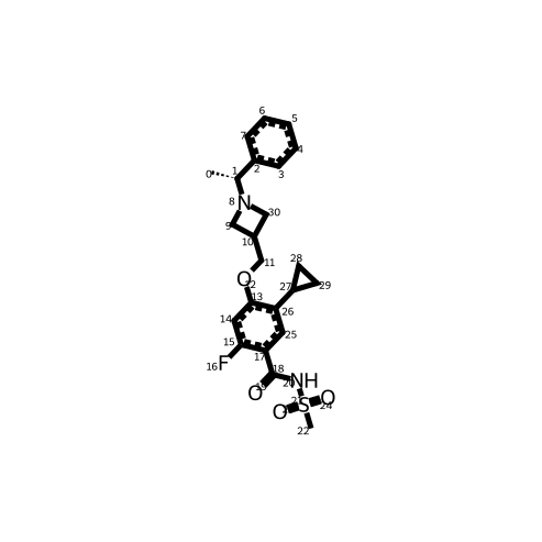 C[C@H](c1ccccc1)N1CC(COc2cc(F)c(C(=O)NS(C)(=O)=O)cc2C2CC2)C1